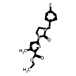 CCOC(=O)c1sc(N2CCN(Cc3ccc(F)cc3)C2=O)cc1C